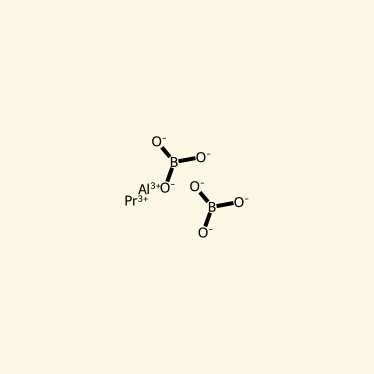 [Al+3].[O-]B([O-])[O-].[O-]B([O-])[O-].[Pr+3]